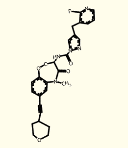 CN1C(=O)[C@H](NC(=O)n2cc(Cc3cccnc3F)cn2)COc2ccc(C#CC3CCOCC3)cc21